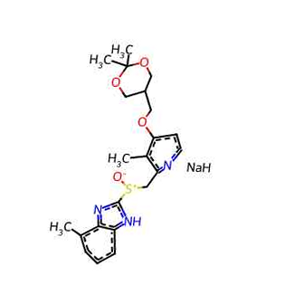 Cc1c(OCC2COC(C)(C)OC2)ccnc1C[S+]([O-])c1nc2c(C)cccc2[nH]1.[NaH]